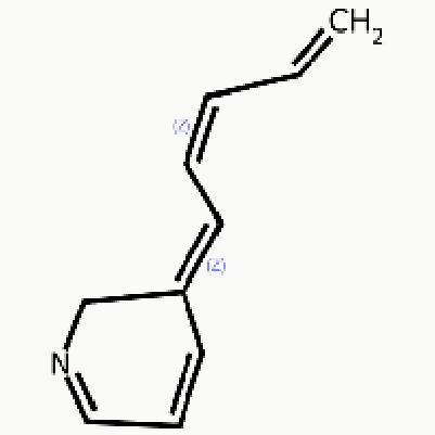 C=C/C=C\C=C1\C=CC=NC1